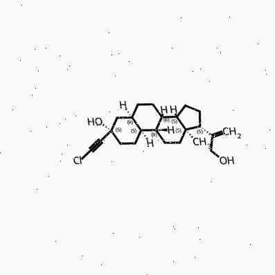 C=C(CO)[C@H]1CC[C@H]2[C@@H]3CC[C@@H]4C[C@](O)(C#CCl)CC[C@@H]4[C@H]3CC[C@]12C